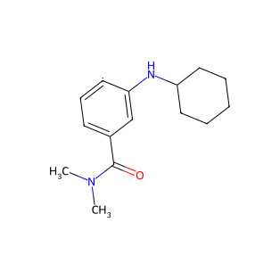 CN(C)C(=O)c1cc[c]c(NC2CCCCC2)c1